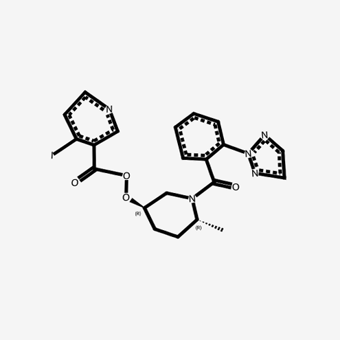 C[C@@H]1CC[C@@H](OOC(=O)c2cnccc2I)CN1C(=O)c1ccccc1-n1nccn1